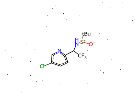 CC(C)(C)[S@+]([O-])NC(c1ccc(Cl)cn1)C(F)(F)F